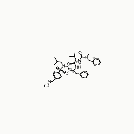 CC(C)CN(C[C@@H](O)[C@H](Cc1ccccc1)NC(=O)[C@@H](NC(=O)N(C)Cc1ccccn1)C(C)C)S(=O)(=O)c1ccc(C=NO)cc1